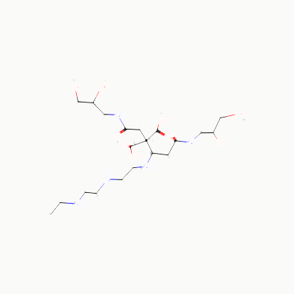 CCNCCNCCNC(CC(=O)NCC(O)CO)C(CC(=O)NCC(O)CO)(C(=O)O)C(=O)O